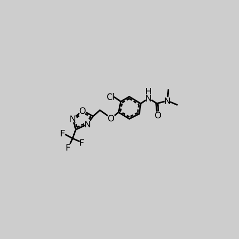 CN(C)C(=O)Nc1ccc(OCc2nc(C(F)(F)F)no2)c(Cl)c1